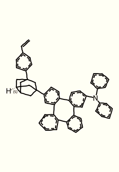 C=Cc1ccc(C23CC4CC(c5ccc6c(c5)-c5ccccc5-c5ccccc5-c5cc(N(c7ccccc7)c7ccccc7)ccc5-6)(C[C@@H]4C2)C3)cc1